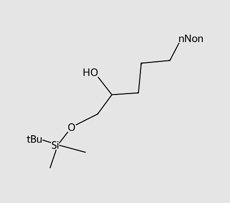 CCCCCCCCCCCCC(O)CO[Si](C)(C)C(C)(C)C